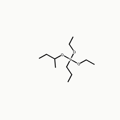 CCC[Si](OCC)(OCC)OC(C)CC